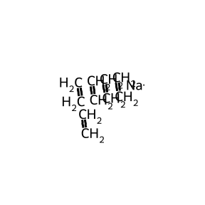 C=C.C=C.C=C.C=C.C=C.[Na]